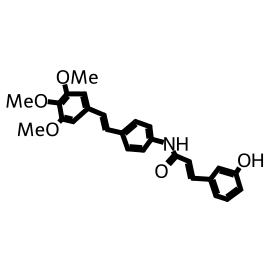 COc1cc(/C=C/c2ccc(NC(=O)/C=C/c3cccc(O)c3)cc2)cc(OC)c1OC